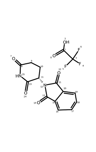 O=C(O)C(F)(F)F.O=C1CC[C@H](N2C(=O)c3ccccc3C2=O)C(=O)N1